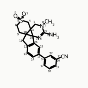 CN1CC23CS(=O)(=O)CCC24Cc2ccc(-c5cccc(C#N)c5)cc2C43N=C1N